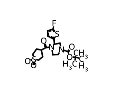 CC(C)(C)OC(=O)N1CCN(C(=O)C2CCS(=O)(=O)CC2)C(c2ccc(F)s2)C1